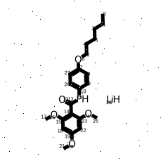 CCCCCCOc1ccc(PC(=O)c2c(OC)cc(OC)cc2OC)cc1.[LiH]